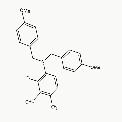 COc1ccc(CN(Cc2ccc(OC)cc2)c2ccc(C(F)(F)F)c(C=O)c2F)cc1